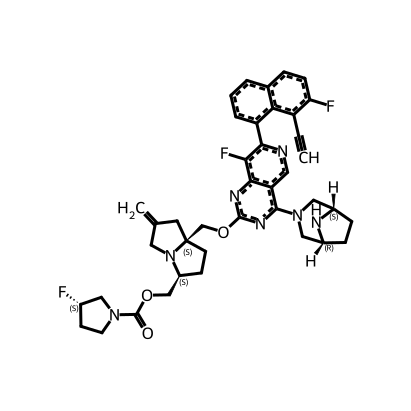 C#Cc1c(F)ccc2cccc(-c3ncc4c(N5C[C@H]6CC[C@@H](C5)N6)nc(OC[C@@]56CC[C@@H](COC(=O)N7CC[C@H](F)C7)N5CC(=C)C6)nc4c3F)c12